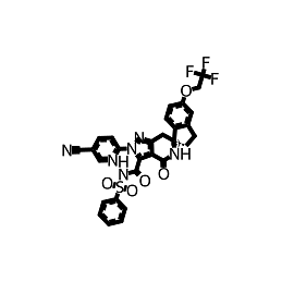 N#Cc1ccc(-n2nc3c(c2C(=O)NS(=O)(=O)c2ccccc2)C(=O)N[C@@]2(CCc4cc(OCC(F)(F)F)ccc42)C3)nc1